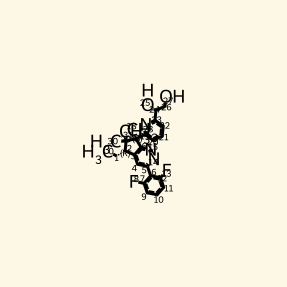 CC[C@H]1c2cc(-c3c(F)cccc3F)nnc2[C@](C)(c2cccc(C(O)CO)n2)C1(C)C